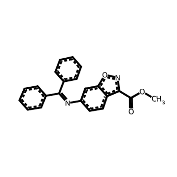 COC(=O)c1noc2cc(N=C(c3ccccc3)c3ccccc3)ccc12